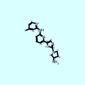 Cc1ccnc(Nc2cccc(-c3cnc(N4CCC(N)C4)s3)n2)c1